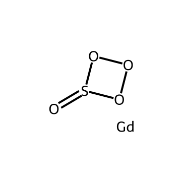 O=S1OOO1.[Gd]